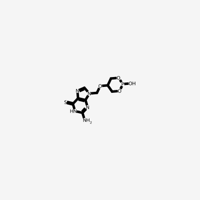 Nc1nc2c(ncn2COC2COP(O)OC2)c(=S)[nH]1